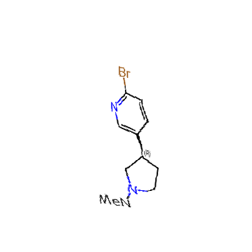 CNN1CC[C@H](c2ccc(Br)nc2)C1